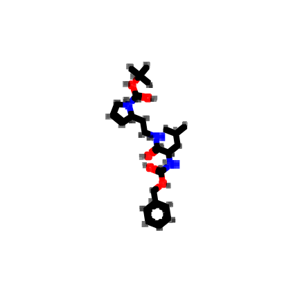 CC(C)CC(NC(=O)OCc1ccccc1)C(=O)NCCC1C=CCN1C(=O)OC(C)(C)C